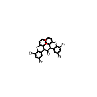 CCc1cc(CC)c2c(c1)C(C(=O)C1c3ccccc3Sc3c(CC)cc(CC)cc31)c1ccccc1S2